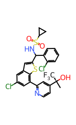 C[C@@](O)(c1ccnc(-c2cc(Cl)cc3cc(C(NS(=O)(=O)C4CC4)c4ccccc4Cl)sc23)c1)C(F)(F)F